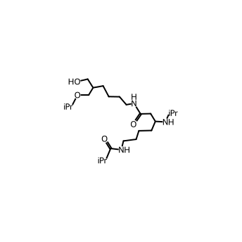 CC(C)NC(CCCCNC(=O)C(C)C)CC(=O)NCCCCC(CO)COC(C)C